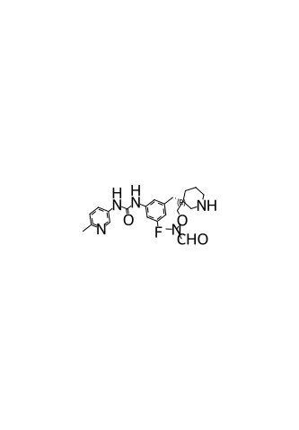 Cc1ccc(NC(=O)Nc2cc(F)cc(C[C@]3(CON(C)C=O)CCCNC3)c2)cn1